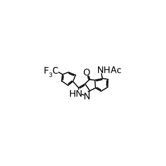 CC(=O)Nc1cccc2c1C(=O)c1c-2n[nH]c1-c1ccc(C(F)(F)F)cc1